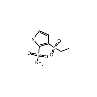 CCS(=O)(=O)c1ccsc1S(N)(=O)=O